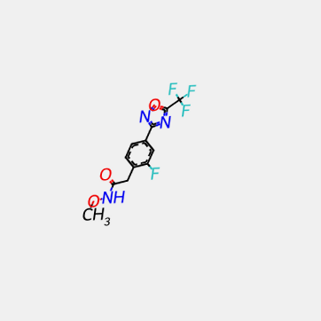 CONC(=O)Cc1ccc(-c2noc(C(F)(F)F)n2)cc1F